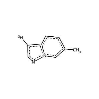 [2H]c1cnn2cc(C)ccc12